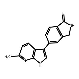 Cc1ccc2c(-c3ccc4c(c3)CNC4=O)c[nH]c2n1